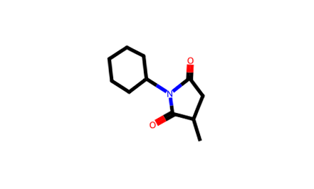 CC1CC(=O)N([C]2CCCCC2)C1=O